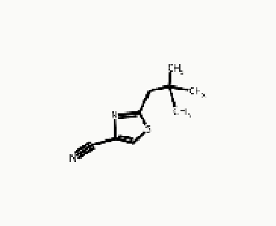 CC(C)(C)Cc1nc(C#N)cs1